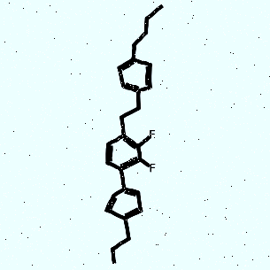 CCCCc1ccc(CCc2ccc(-c3ccc(CCC)cc3)c(F)c2F)cc1